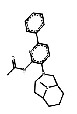 CC(=O)Nc1nc(-c2ccccc2)ccc1N1CCC2CCCC(C1)N2C